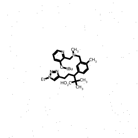 CCn1cc(CCC(c2ccc(C)c(CN(C)Cc3ncccc3OC(C)(C)C)c2)C(C)(C)C(=O)O)nn1